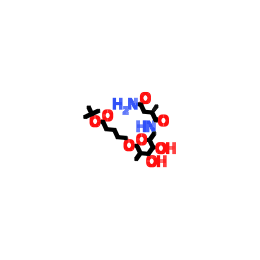 CC1C(OCCCCC(=O)OC(C)(C)C)OC(CNC(=O)[C@H](C)CC(N)=O)C(O)C1O